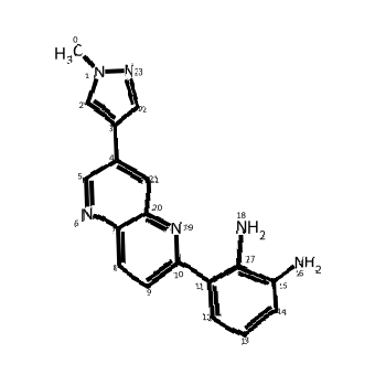 Cn1cc(-c2cnc3ccc(-c4cccc(N)c4N)nc3c2)cn1